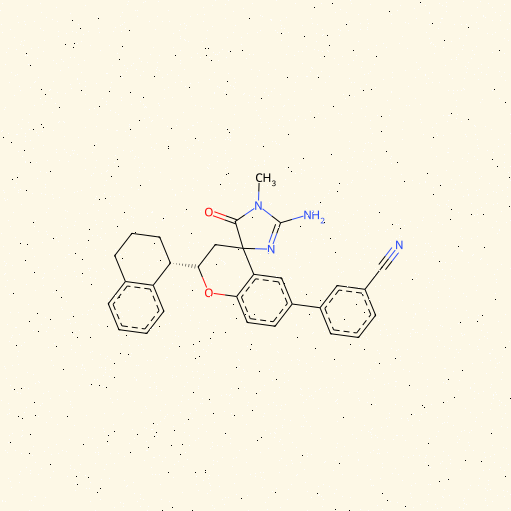 CN1C(=O)C2(CC([C@H]3CCCc4ccccc43)Oc3ccc(-c4cccc(C#N)c4)cc32)N=C1N